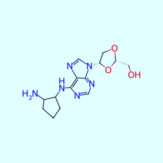 NC1CCCC1Nc1ncnc2c1ncn2[C@@H]1CO[C@H](CO)O1